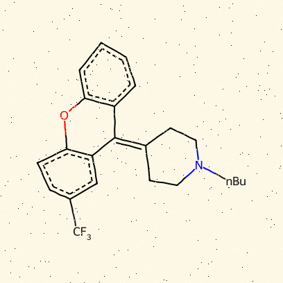 CCCCN1CCC(=C2c3ccccc3Oc3ccc(C(F)(F)F)cc32)CC1